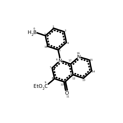 Bc1cccc(-n2cc(C(=O)OCC)c(=O)c3cccnc32)c1